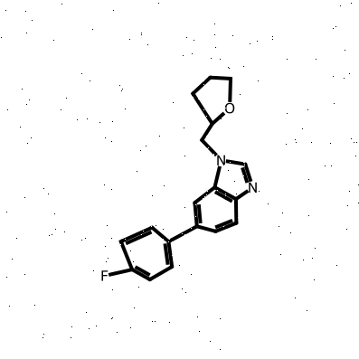 Fc1ccc(-c2ccc3ncn(CC4CCCO4)c3c2)cc1